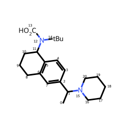 CC(c1ccc2c(c1)CCCC2N(C(=O)O)C(C)(C)C)N1CCCCC1